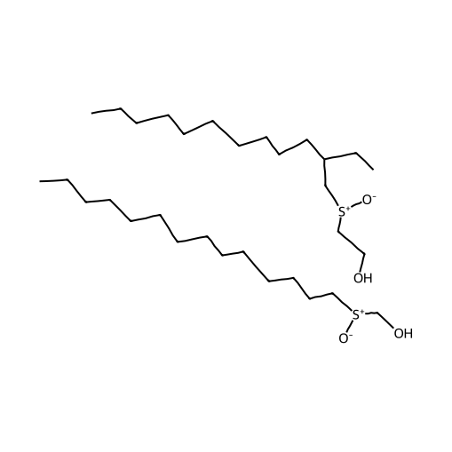 CCCCCCCCCCC(CC)C[S+]([O-])CCO.CCCCCCCCCCCCCC[S+]([O-])CO